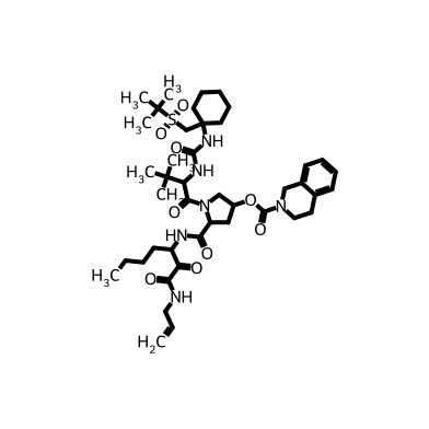 C=CCNC(=O)C(=O)C(CCCC)NC(=O)C1CC(OC(=O)N2CCc3ccccc3C2)CN1C(=O)C(NC(=O)NC1(CS(=O)(=O)C(C)(C)C)CCCCC1)C(C)(C)C